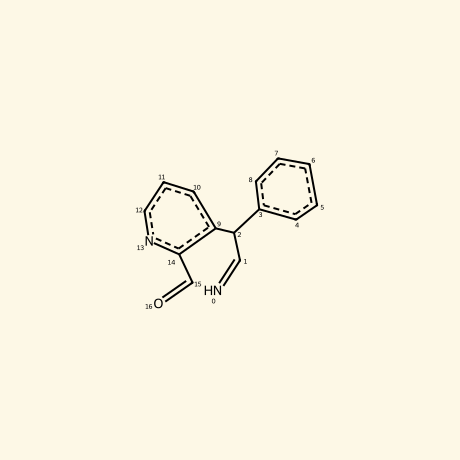 N=CC(c1ccccc1)c1cccnc1C=O